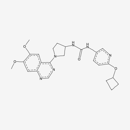 COc1cc2ncnc(N3CCC(NC(=O)Nc4ccc(OC5CCC5)nc4)C3)c2cc1OC